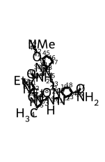 CCn1nc(C)cc1C(=O)Nc1nc2cc(C(N)=O)ccc2n1CCCCn1c(NC(=O)c2cc(C)nn2CC)nc2c(OCCNC)cccc21